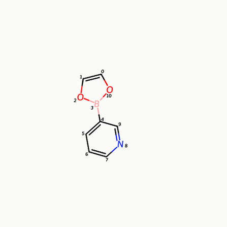 C1=COB(c2cccnc2)O1